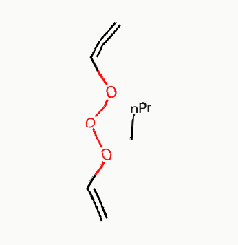 C=COOOC=C.CCCC